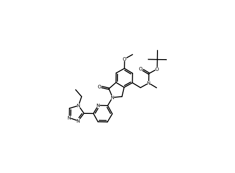 CCn1cnnc1-c1cccc(N2Cc3c(CN(C)C(=O)OC(C)(C)C)cc(OC)cc3C2=O)n1